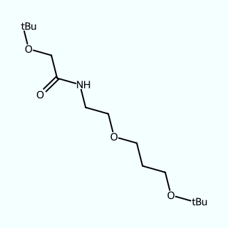 CC(C)(C)OCCCOCCNC(=O)COC(C)(C)C